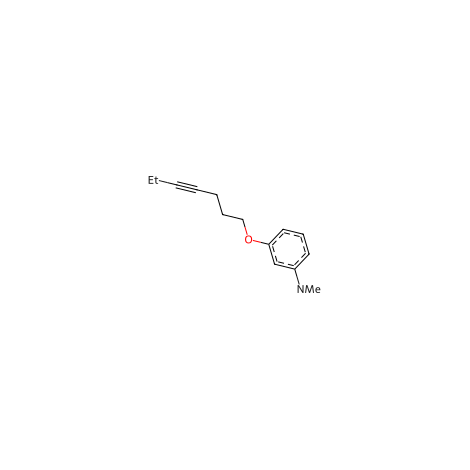 CCC#CCCCOc1cccc(NC)c1